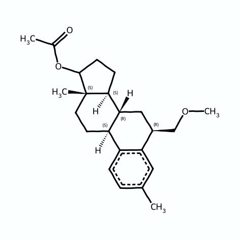 COC[C@@H]1C[C@@H]2[C@H](CC[C@]3(C)C(OC(C)=O)CC[C@@H]23)c2ccc(C)cc21